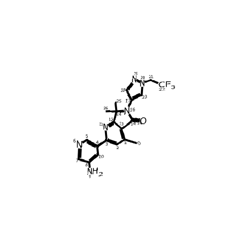 Cc1cc(-c2cncc(N)c2)nc2c1C(=O)N(c1cnn(CC(F)(F)F)c1)C2(C)C